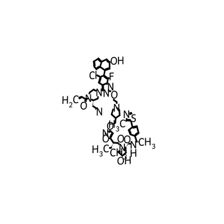 C=CC(=O)N1CCN(c2nc(OCCN3CCC(COc4cc([C@H](C(=O)N5C[C@H](O)C[C@H]5C(=O)N[C@@H](C)c5ccc(-c6scnc6C)cc5)C(C)C)on4)CC3)nc3c(F)c(-c4cc(O)cc5ccccc45)c(Cl)cc23)C[C@@H]1CC#N